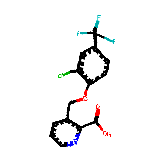 O=C(O)c1ncccc1COc1ccc(C(F)(F)F)cc1Cl